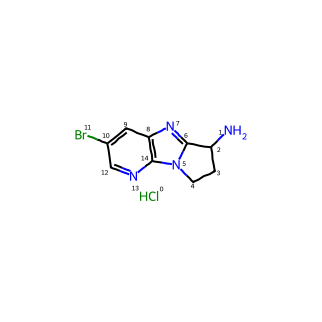 Cl.NC1CCn2c1nc1cc(Br)cnc12